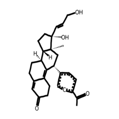 CC(=O)c1ccc([C@H]2C[C@@]3(C)[C@@H](CC[C@@]3(O)/C=C/CO)[C@@H]3CCC4=CC(=O)CCC4=C32)cc1